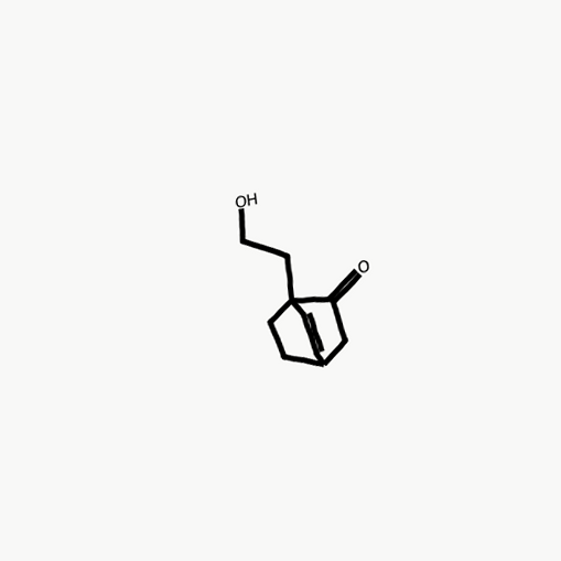 O=C1CC2C=CC1(CCO)CC2